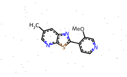 COc1cnccc1-c1nc2cc(C)cnc2s1